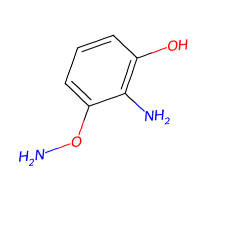 NOc1cccc(O)c1N